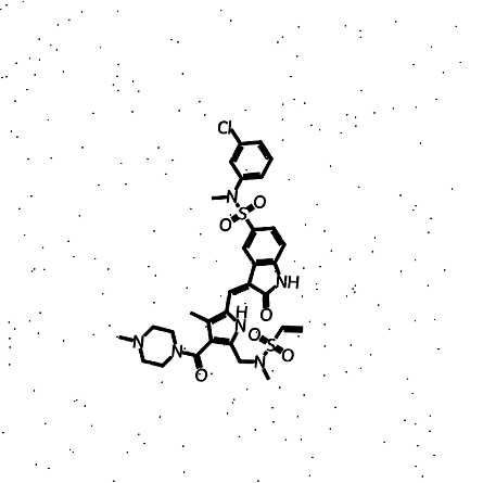 C=CS(=O)(=O)N(C)Cc1[nH]c(/C=C2\C(=O)Nc3ccc(S(=O)(=O)N(C)c4cccc(Cl)c4)cc32)c(C)c1C(=O)N1CCN(C)CC1